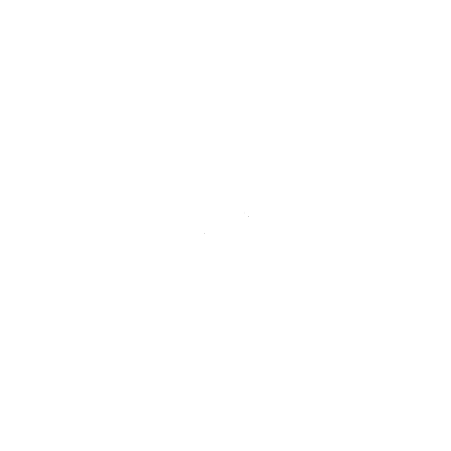 CC(C)(C)OC(=O)NCCNS(=O)(=O)c1ccccc1F